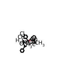 CN(C)C(=O)C1([N+]2(CCC(CN(C)C(=O)C3CC3c3ccccc3)c3ccc(Cl)c(Cl)c3)CCCCC2)CCNCC1